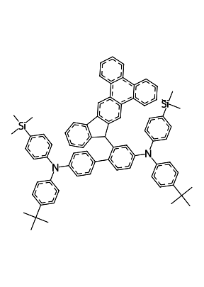 CC(C)(C)c1ccc(N(c2ccc(-c3ccc(N(c4ccc(C(C)(C)C)cc4)c4ccc([Si](C)(C)C)cc4)cc3C3c4ccccc4-c4cc5c6ccccc6c6ccccc6c5cc43)cc2)c2ccc([Si](C)(C)C)cc2)cc1